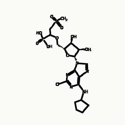 CS(=O)(=O)CC(OC[C@H]1O[C@@H](n2cnc3c(NC4CCCC4)nc(Cl)nc32)[C@H](O)[C@@H]1O)P(=O)(O)O